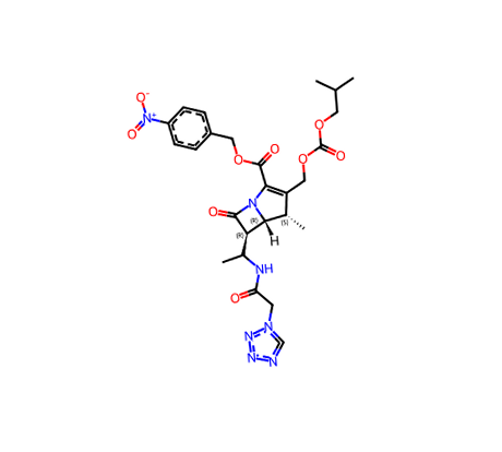 CC(C)COC(=O)OCC1=C(C(=O)OCc2ccc([N+](=O)[O-])cc2)N2C(=O)[C@H](C(C)NC(=O)Cn3cnnn3)[C@H]2[C@H]1C